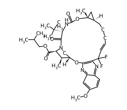 COc1ccc2nc3c(nc2c1)O[C@H]1CN(C(=O)[C@H](C(C)(C)C)NC(=O)O[C@]2(C)C[C@H]2CCC/C=C/C3(F)F)[C@H](C(=O)OCC(C)C)[C@@H]1C